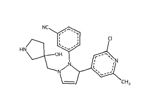 Cc1cc(C2C=CN(CC3(O)CCNC3)N2c2cccc(C#N)c2)cc(Cl)n1